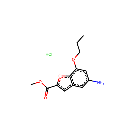 CCCOc1cc(N)cc2cc(C(=O)OC)oc12.Cl